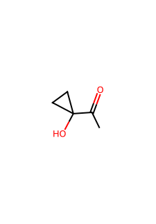 CC(=O)C1(O)CC1